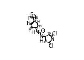 O=C(Nc1cc(Cl)nc(Cl)c1)Nc1ccc(C(F)(F)F)c(F)c1F